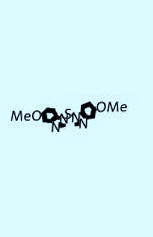 COc1ccc2c(c1)ncn2Sn1cnc2cc(OC)ccc21